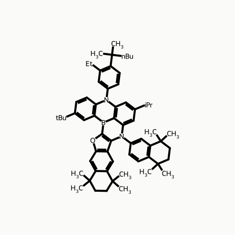 CCCCC(C)(C)c1ccc(N2c3ccc(C(C)(C)C)cc3B3c4oc5cc6c(cc5c4N(c4ccc5c(c4)C(C)(C)CCC5(C)C)c4cc(C(C)C)cc2c43)C(C)(C)CCC6(C)C)cc1CC